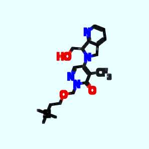 C[Si](C)(C)CCOCn1ncc(N2Cc3cccnc3C2CO)c(C(F)(F)F)c1=O